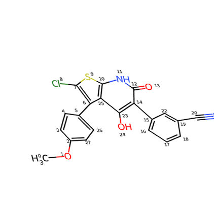 COc1ccc(-c2c(Cl)sc3[nH]c(=O)c(-c4cccc(C#N)c4)c(O)c23)cc1